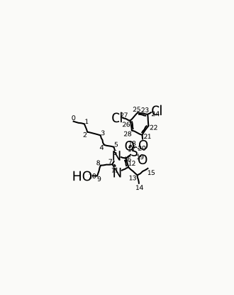 CCCCCCn1c(CCO)nc(C(C)C)c1S(=O)(=O)Oc1cc(Cl)cc(Cl)c1